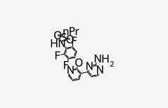 CCCS(=O)(=O)Nc1c(F)cc(Oc2ncccc2-c2ccnc(N)n2)c(F)c1F